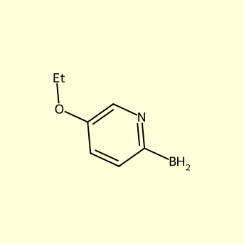 Bc1ccc(OCC)cn1